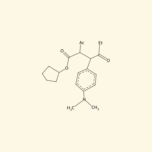 CCC(=O)C(c1ccc(N(C)C)cc1)C(C(C)=O)C(=O)OC1CCCC1